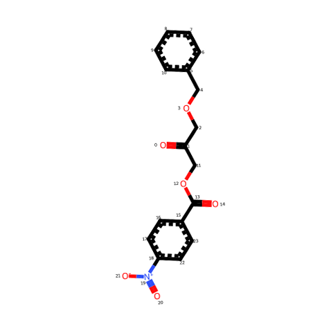 O=C(COCc1ccccc1)COC(=O)c1ccc([N+](=O)[O-])cc1